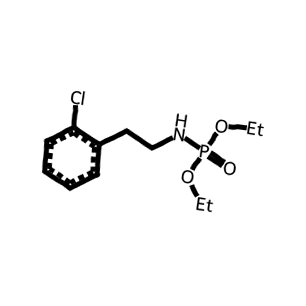 CCOP(=O)(NCCc1ccccc1Cl)OCC